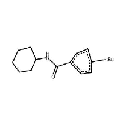 CC(C)(C)c1ccc(C(=O)NC2CCCCC2)cc1